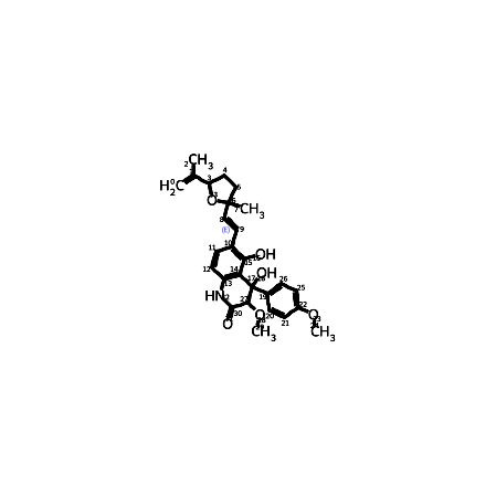 C=C(C)C1CCC(C)(/C=C/c2ccc3c(c2O)C(O)(c2ccc(OC)cc2)C(OC)C(=O)N3)O1